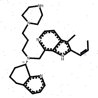 C/C=C\c1[nH]c2c(CN(CCCN3CCNCC3)[C@H]3CCCc4cccnc43)nccc2c1C